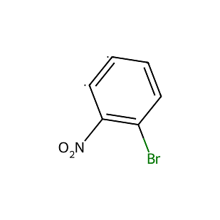 O=[N+]([O-])c1[c][c]ccc1Br